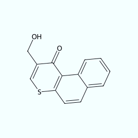 O=c1c(CO)csc2ccc3ccccc3c12